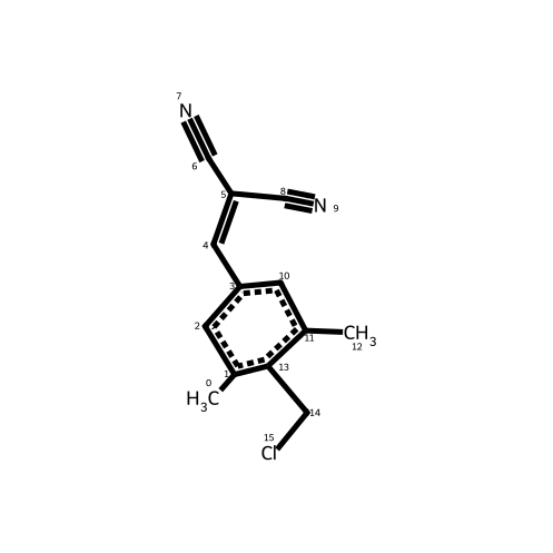 Cc1cc(C=C(C#N)C#N)cc(C)c1CCl